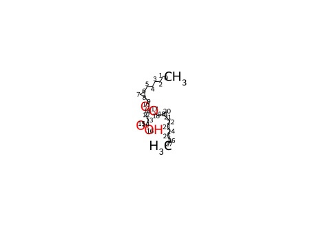 CCCCCCC1CC1COC(CCC(=O)O)OCC1CC1CCCCCC